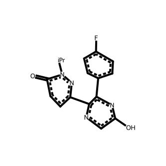 CC(C)n1nc(-c2ncc(O)nc2-c2ccc(F)cc2)ccc1=O